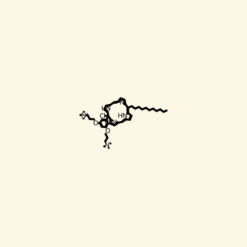 CCCCCCCCCCCC1=c2ccc([nH]2)=CC2=NC(Cl)(C=C2)C(Cl)(c2cc(OCCC[N+](C)(C)C)cc(OCCC[N+](C)(C)C)c2)c2ccc([nH]2)C=C2C=CC1=N2